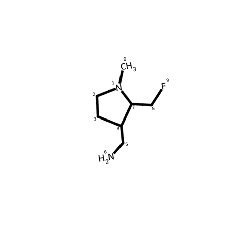 CN1CCC(CN)C1CF